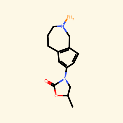 CC1CN(c2ccc3c(c2)CCCN(P)C3)C(=O)O1